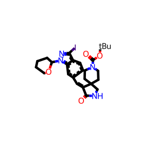 CC(C)(C)OC(=O)N1CCC2(CC1)CNC(=O)/C2=C/c1ccc2c(I)nn(C3CCCCO3)c2c1